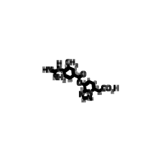 Cc1cc(C(=O)Oc2ccc(CC(=O)O)n3ncnc23)ccc1NC(=N)N